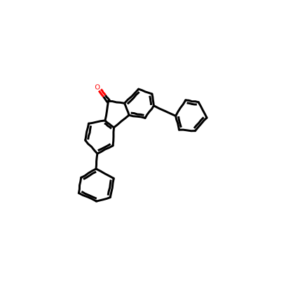 O=C1c2ccc(-c3ccccc3)cc2-c2cc(-c3ccccc3)ccc21